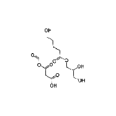 O=C(CCCCO)OCC(O)CO.O=COC(=O)CC(=O)O